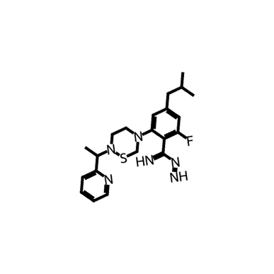 CC(C)Cc1cc(F)c(C(=N)N=N)c(N2CCN(C(C)c3ccccn3)SC2)c1